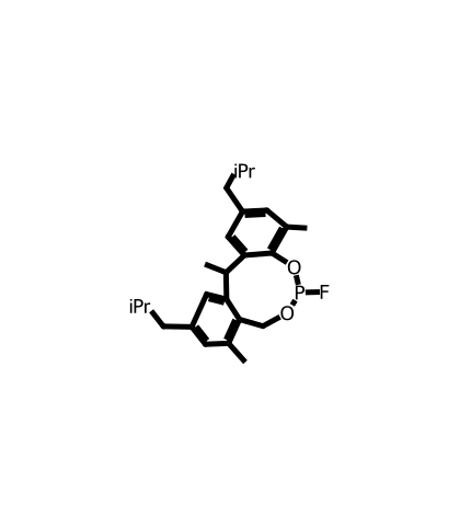 Cc1cc(CC(C)C)cc2c1COP(F)Oc1c(C)cc(CC(C)C)cc1C2C